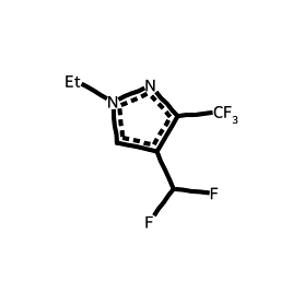 CCn1cc(C(F)F)c(C(F)(F)F)n1